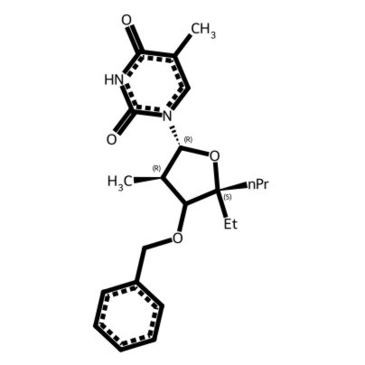 CCC[C@]1(CC)O[C@@H](n2cc(C)c(=O)[nH]c2=O)[C@H](C)C1OCc1ccccc1